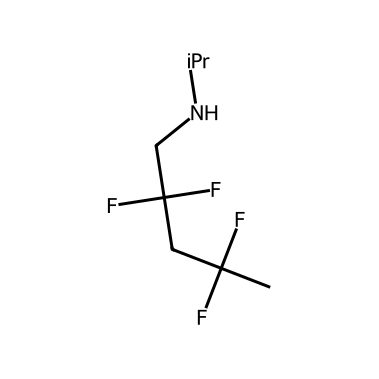 CC(C)NCC(F)(F)CC(C)(F)F